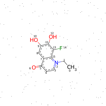 CCn1ccc(=O)c2cc(O)c(O)c(F)c21